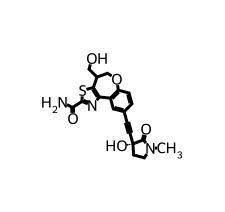 CN1CC[C@@](O)(C#Cc2ccc3c(c2)-c2nc(C(N)=O)sc2C(CO)CO3)C1=O